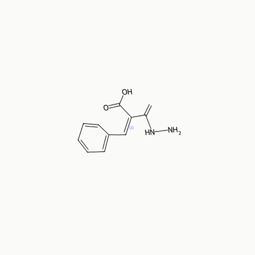 C=C(NN)/C(=C/c1ccccc1)C(=O)O